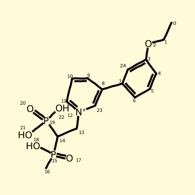 CCOc1cccc(-c2ccc[n+](CC(P(C)(=O)O)P(=O)(O)O)c2)c1